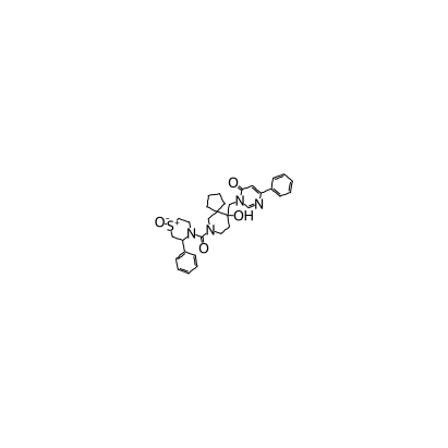 O=C(N1CCC(O)(Cn2cnc(-c3ccccc3)cc2=O)C2(CCCC2)C1)N1CC[S+]([O-])CC1c1ccccc1